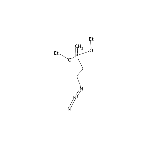 C=P(CCN=[N+]=[N-])(OCC)OCC